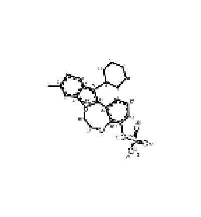 Cc1ccc2c(C3CCCCC3)c3n(c2c1)CCOc1c(OS(=O)(=O)C(F)(F)F)cccc1-3